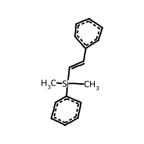 C[Si](C)(C=Cc1ccccc1)c1ccccc1